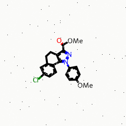 COC(=O)c1nn(-c2ccc(OC)cc2)c2c1CCc1cc(Cl)ccc1-2